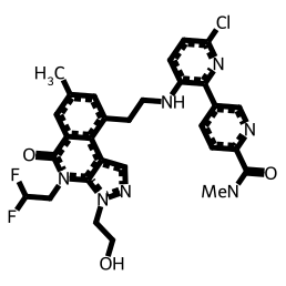 CNC(=O)c1ccc(-c2nc(Cl)ccc2NCCc2cc(C)cc3c(=O)n(CC(F)F)c4c(cnn4CCO)c23)cn1